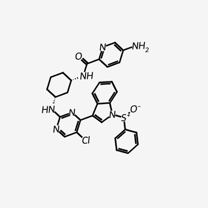 Nc1ccc(C(=O)N[C@H]2CCC[C@@H](Nc3ncc(Cl)c(-c4cn([S+]([O-])c5ccccc5)c5ccccc45)n3)C2)nc1